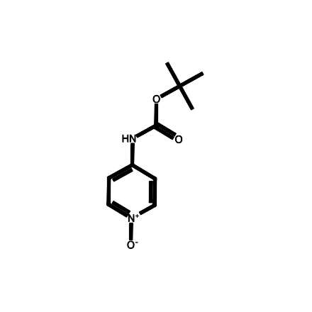 CC(C)(C)OC(=O)Nc1cc[n+]([O-])cc1